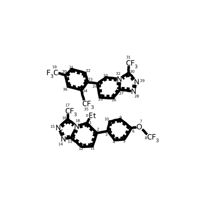 CCc1c(-c2ccc(OC(F)(F)F)cc2)ccc2nnc(C(F)(F)F)n12.FC(F)(F)c1ccc(-c2ccc3nnc(C(F)(F)F)n3c2)c(C(F)(F)F)c1